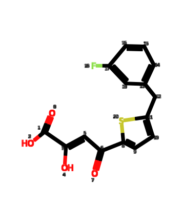 O=C(O)/C(O)=C/C(=O)c1ccc(Cc2cccc(F)c2)s1